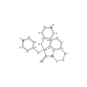 O=C1N2CCSc3cccc(c32)C1(Cc1ccncc1)Cc1ccncc1